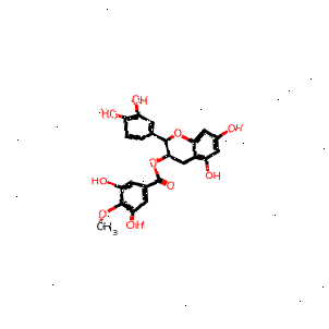 COc1c(O)cc(C(=O)OC2Cc3c(O)cc(O)cc3OC2c2ccc(O)c(O)c2)cc1O